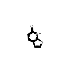 O=c1ccc2c([nH]1)[N]C=C2